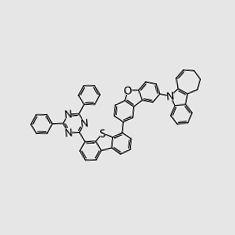 C1=Cc2c(c3ccccc3n2-c2ccc3oc4ccc(-c5cccc6c5sc5c(-c7nc(-c8ccccc8)nc(-c8ccccc8)n7)cccc56)cc4c3c2)CCC1